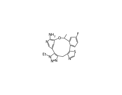 CCn1nnc2c1-c1cnc(N)c(c1)OC(C)c1cc(F)ccc1-c1scnc1C2